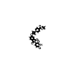 CC(C)(C)OC(=O)C1CCN(C2CC(Oc3ccc4c(c3)C(=O)N(C3CCC(=O)NC3=O)C4=O)C2)CC1